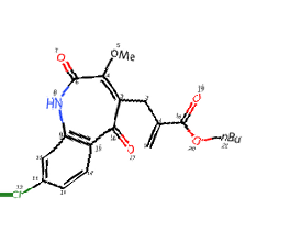 C=C(Cc1c(OC)c(=O)[nH]c2cc(Cl)ccc2c1=O)C(=O)OCCCC